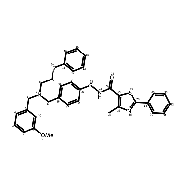 COc1cccc(CN(CCSc2ccccc2)Cc2ccc(SNC(=O)c3sc(-c4ccccc4)nc3C)cc2)c1